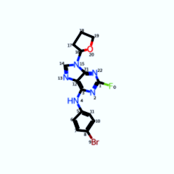 Fc1nc(Nc2ccc(Br)cc2)c2ncn(C3CCCO3)c2n1